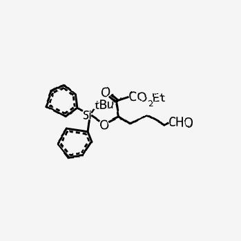 CCOC(=O)C(=O)C(CCCC=O)O[Si](c1ccccc1)(c1ccccc1)C(C)(C)C